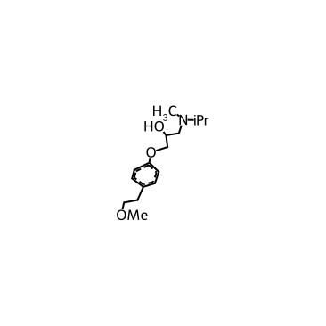 COCCc1ccc(OCC(O)CN(C)C(C)C)cc1